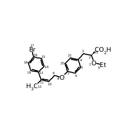 CCO[C@@H](Cc1ccc(OCC=C(C)c2ccc(Br)cc2)cc1)C(=O)O